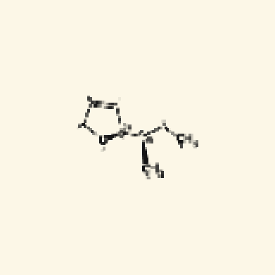 CC[C@@H](C)[C@@H]1C=CCO1